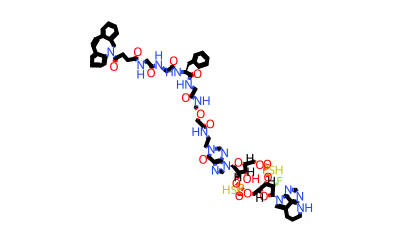 O=C(CCC(=O)N1Cc2ccccc2C#Cc2ccccc21)NCC(=O)NCC(=O)N[C@@H](Cc1ccccc1)C(=O)NCC(=O)NCOCC(=O)NCCn1cnc2c(ncn2[C@@H]2O[C@@H]3COP(=O)(S)O[C@H]4[C@@H](F)[C@H](n5cc6c7c(ncnc75)NCCC6)O[C@@H]4COP(=O)(S)O[C@@H]2[C@@H]3O)c1=O